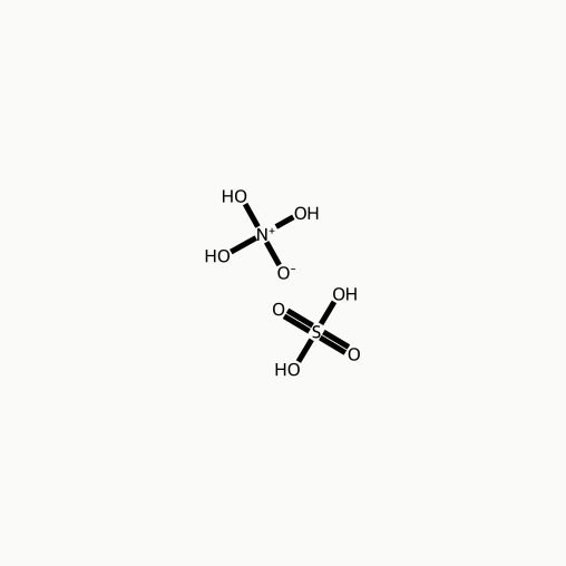 O=S(=O)(O)O.[O-][N+](O)(O)O